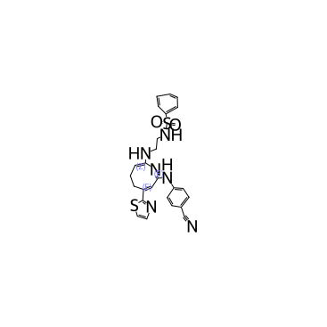 N#Cc1ccc(NC2=N/C(NCCNS(=O)(=O)c3ccccc3)=C\CC/C(c3nccs3)=C\2)cc1